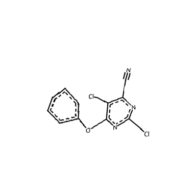 N#Cc1nc(Cl)nc(Oc2ccccc2)c1Cl